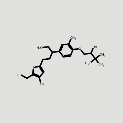 CCC(CCc1cc(C)c(CO)s1)c1ccc(OCC(O)C(C)(C)C)c(C)c1